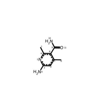 Cc1cc(N)nc(C)c1C(N)=O